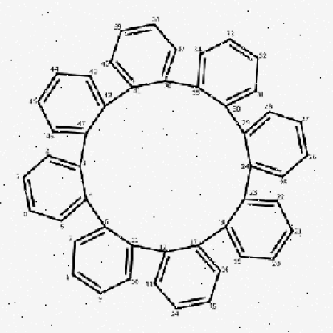 c1ccc2c(c1)-c1ccccc1-c1ccccc1-c1ccccc1-c1ccccc1-c1ccccc1-c1ccccc1-c1ccccc1-2